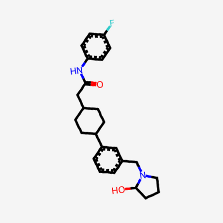 O=C(CC1CCC(c2cccc(CN3CCCC3O)c2)CC1)Nc1ccc(F)cc1